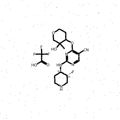 CC1(O)COCCC1Oc1nc(N[C@@H]2CCNC[C@H]2F)ncc1C#N.O=C(O)C(F)(F)F